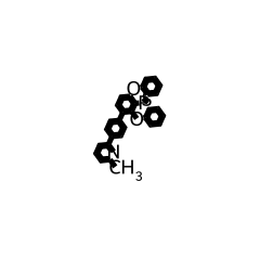 Cc1cccc(-c2ccc(-c3ccc4c5c3Oc3ccccc3[P@]5(=S)c3ccccc3O4)cc2)n1